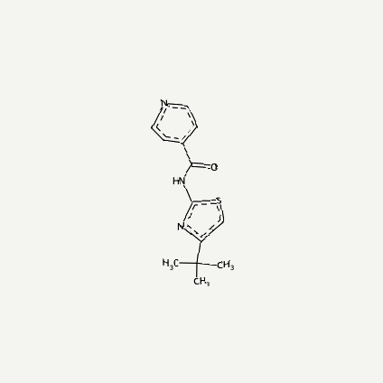 CC(C)(C)c1csc(NC(=O)c2ccncc2)n1